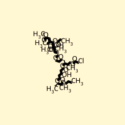 CCCCO[C@H](C)[C@@H](CC)OC(=O)C[C@H](O)CC(=O)O[C@@H](C[C@@H]1CCO[C@H](/C=C/C(C)(C)[C@](O)(OC)[C@@H](OC(=O)CC)/C(=C/C(=O)OC)CC)O1)[C@@H](C)COC(=O)CCl